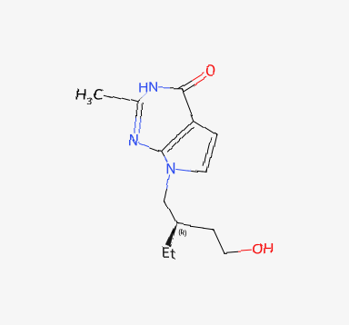 CC[C@H](CCO)Cn1ccc2c(=O)[nH]c(C)nc21